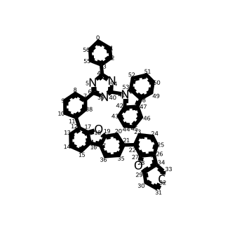 c1ccc(-c2nc(-c3cccc(-c4cccc5c4oc4cc(-c6cccc7c6oc6ccccc67)ccc45)c3)nc(-n3c4ccccc4c4ccccc43)n2)cc1